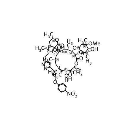 CC[C@H]1OC(=O)[C@H](C)[C@@H](O[C@H]2C[C@@](C)(OC)[C@@H](O)[C@H](C)O2)[C@H](C)[C@@H](O[C@@H]2O[C@H](C)C[C@H](N(C)CCn3cc(CCCOc4ccc([N+](=O)[O-])cc4)nn3)[C@H]2O)[C@](C)(O)C[C@@H](C)CN(C)[C@H](C)[C@@H](O)[C@]1(C)O